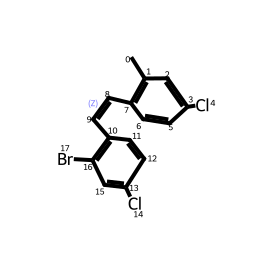 Cc1cc(Cl)ccc1/C=C\c1ccc(Cl)cc1Br